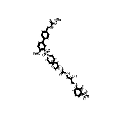 CCOc1ccc(-c2ccc(CNC(=O)OC(C)(C)C)cc2)cc1S(=O)(=O)N1CCC2(CC1)C[C@H](OC(=O)NCC(O)COc1cccc(S(C)(=O)=O)c1F)CO2